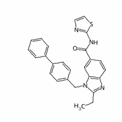 CCc1nc2ccc(C(=O)Nc3nccs3)cc2n1Cc1ccc(-c2ccccc2)cc1